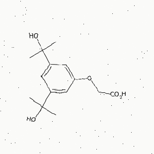 CC(C)(O)c1cc(OCC(=O)O)cc(C(C)(C)O)c1